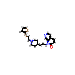 O=c1ccc2ccncc2n1CCCC1CCN(CCSc2cccs2)CC1